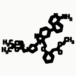 CCOC(=O)Cc1ccccc1OCc1c2cc(-c3cccc4c(N)nccc34)ccc2nn1C1CCN(CC(=O)OC(C)(C)C)C1